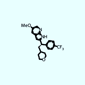 COc1cnc2[nH]c([C@H](CC3CCOCC3)c3ccc(C(F)(F)F)cc3)cc2c1